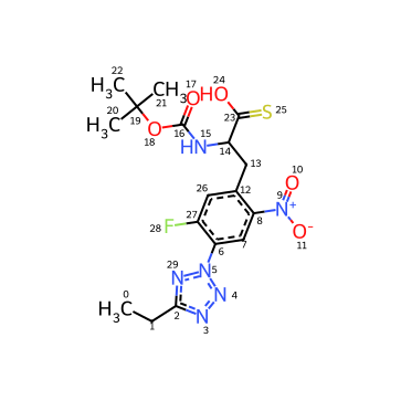 CCc1nnn(-c2cc([N+](=O)[O-])c(CC(NC(=O)OC(C)(C)C)C(O)=S)cc2F)n1